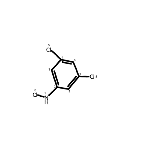 ClNc1cc(Cl)cc(Cl)c1